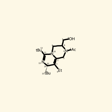 CCC1=C2CN(C(C)=O)C(CO)CN2C(C(C)(C)C)=N[C@H]1C(C)(C)C